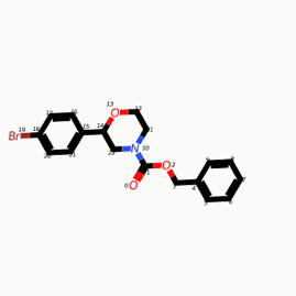 O=C(OCc1ccccc1)N1CCOC(c2ccc(Br)cc2)C1